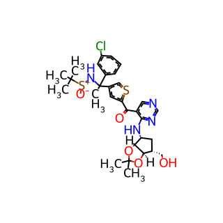 CC1(C)O[C@@H]2[C@@H](CO)C[C@@H](Nc3ncncc3C(=O)c3cc(C(C)(N[S+]([O-])C(C)(C)C)c4cccc(Cl)c4)cs3)[C@@H]2O1